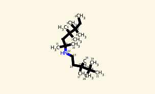 CCC(C)(C)C(C)(C)CC(C)(C)NCCC(C)(C)C(C)(C)C